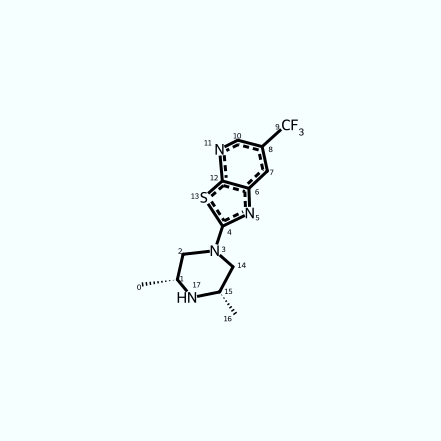 C[C@@H]1CN(c2nc3cc(C(F)(F)F)cnc3s2)C[C@H](C)N1